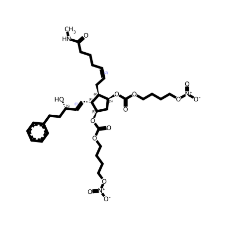 CNC(=O)CCC/C=C\C[C@@H]1[C@@H](/C=C/[C@@H](O)CCc2ccccc2)[C@H](OC(=O)OCCCCO[N+](=O)[O-])C[C@@H]1OC(=O)OCCCCO[N+](=O)[O-]